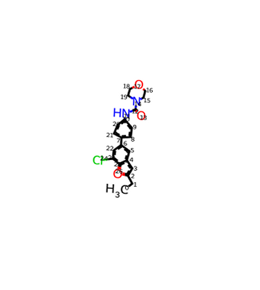 CCc1cc2cc(-c3ccc(NC(=O)N4CCOCC4)cc3)cc(Cl)c2o1